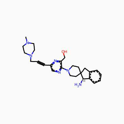 CN1CCN(CC#Cc2cnc(N3CCC4(CC3)Cc3ccccc3[C@H]4N)c(CO)n2)CC1